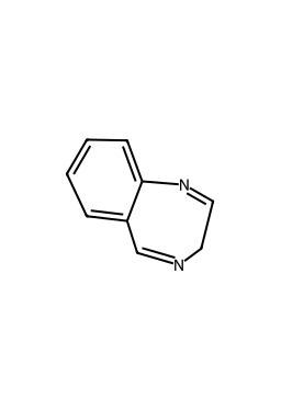 C1=NCC=Nc2ccccc21